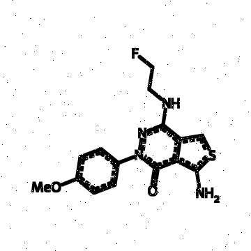 COc1ccc(-n2nc(NCCF)c3csc(N)c3c2=O)cc1